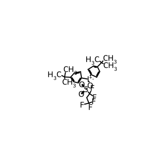 CC(C)(C)c1ccc([I+](OS(=O)(=O)C(F)(F)CC(F)(F)F)c2ccc(C(C)(C)C)cc2)cc1